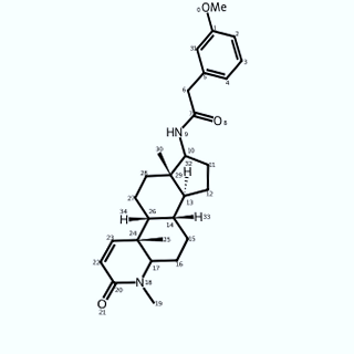 COc1cccc(CC(=O)NC2CC[C@H]3[C@@H]4CCC5N(C)C(=O)C=C[C@]5(C)[C@@H]4CC[C@]23C)c1